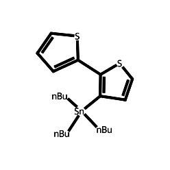 CCC[CH2][Sn]([CH2]CCC)([CH2]CCC)[c]1ccsc1-c1cccs1